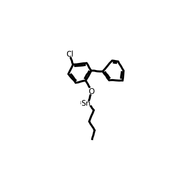 CCC[CH2][Sn][O]c1ccc(Cl)cc1-c1ccccc1